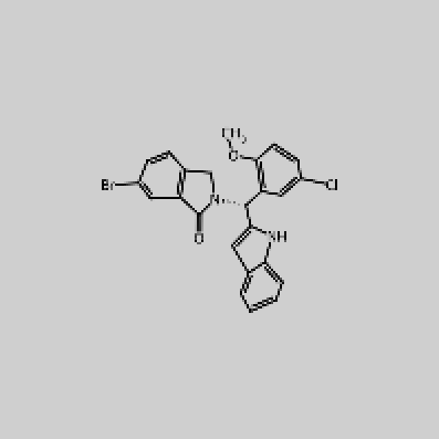 COc1ccc(Cl)cc1[C@H](c1cc2ccccc2[nH]1)N1Cc2ccc(Br)cc2C1=O